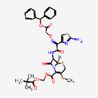 CSC1=C(C(=O)OCOC(=O)C(C)(C)C)N2C(=O)C(NC(=O)C(=NOCC(=O)OC(c3ccccc3)c3ccccc3)c3csc(N)n3)[C@@H]2SC1